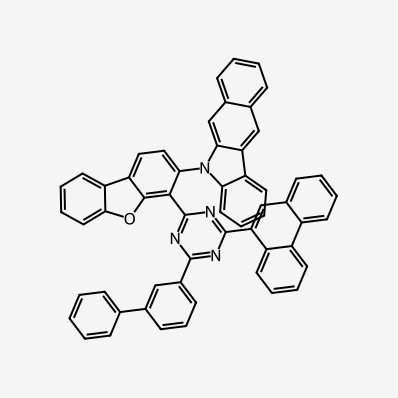 c1ccc(-c2cccc(-c3nc(-c4cc5ccccc5c5ccccc45)nc(-c4c(-n5c6ccccc6c6cc7ccccc7cc65)ccc5c4oc4ccccc45)n3)c2)cc1